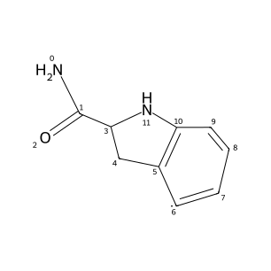 NC(=O)C1Cc2[c]cccc2N1